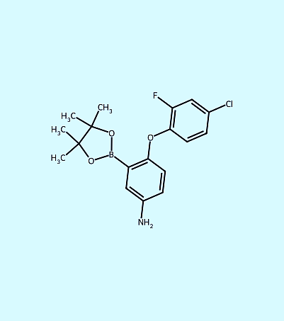 CC1(C)OB(c2cc(N)ccc2Oc2ccc(Cl)cc2F)OC1(C)C